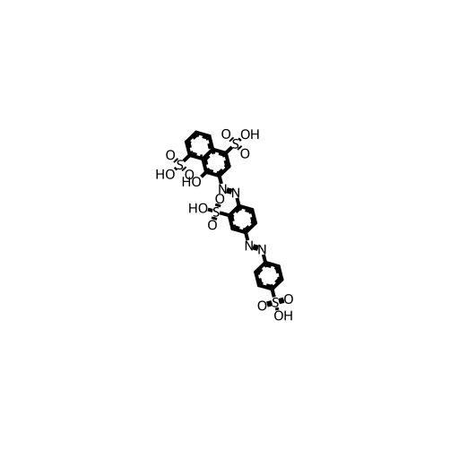 O=S(=O)(O)c1ccc(/N=N/c2ccc(/N=N/c3cc(S(=O)(=O)O)c4cccc(S(=O)(=O)O)c4c3O)c(S(=O)(=O)O)c2)cc1